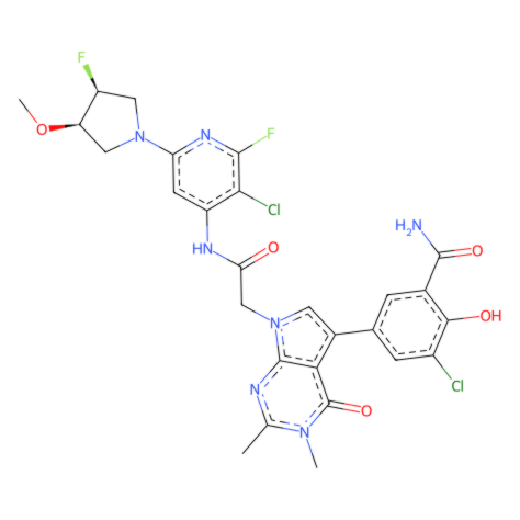 CO[C@@H]1CN(c2cc(NC(=O)Cn3cc(-c4cc(Cl)c(O)c(C(N)=O)c4)c4c(=O)n(C)c(C)nc43)c(Cl)c(F)n2)C[C@@H]1F